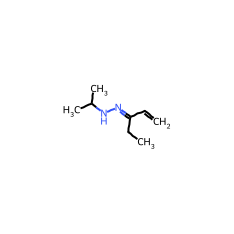 C=C/C(CC)=N/NC(C)C